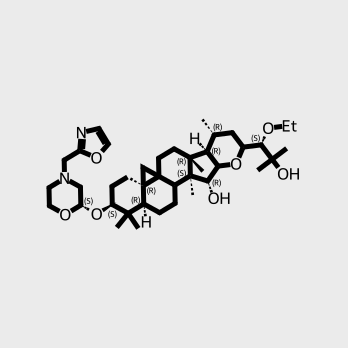 CCO[C@@H](C1C[C@@H](C)[C@H]2C(O1)[C@H](O)[C@@]1(C)C3CC[C@H]4C(C)(C)[C@@H](O[C@H]5CN(Cc6ncco6)CCO5)CC[C@@]45CC35CC[C@]21C)C(C)(C)O